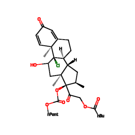 CCCCCOC(=O)O[C@]1(C(=O)COC(=O)CCCC)[C@H](C)C[C@H]2[C@@H]3CCC4=CC(=O)C=C[C@]4(C)[C@@]3(Cl)C(O)C[C@@]21C